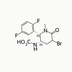 CN1C(=O)C(Br)C[C@H](NC(=O)O)[C@@H]1c1cc(F)ccc1F